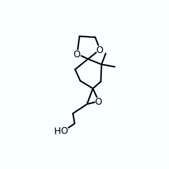 CC1(C)CC2(CCC13OCCO3)OC2CCO